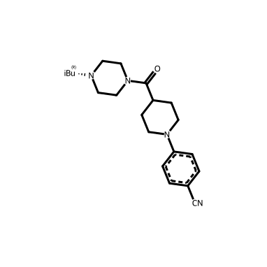 CC[C@@H](C)N1CCN(C(=O)C2CCN(c3ccc(C#N)cc3)CC2)CC1